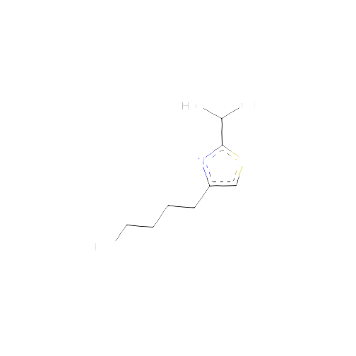 CCCCCc1csc(C(C)C)n1